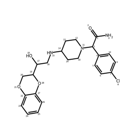 NC(=O)C(c1ccc(Cl)cc1)N1CCC(NCC(O)C2COc3ccccc3O2)CC1